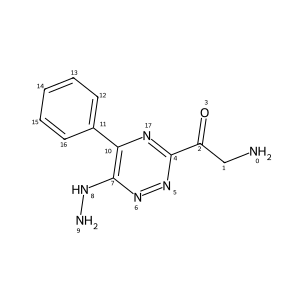 NCC(=O)c1nnc(NN)c(-c2ccccc2)n1